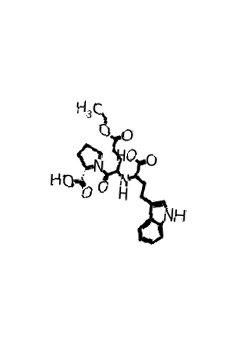 CCOC(=O)CCC(NC(CCc1c[nH]c2ccccc12)C(=O)O)C(=O)N1CCC[C@H]1C(=O)O